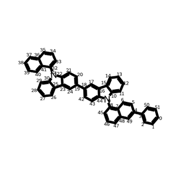 c1ccc(-c2ccc3c(-n4c5ccccc5c5cc(-c6ccc7c(c6)c6ccccc6n7-c6cccc7ccccc67)ccc54)cccc3c2)cc1